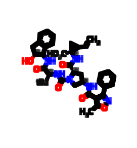 C=CC1C[C@]1(NC(=O)[C@@H]1C[C@@H](NC(=O)c2c(-c3ccccc3)noc2C)CN1C(=O)N[C@H](C(=O)NC1c2ccccc2C[C@H]1O)C(C)(C)C)C(=O)O